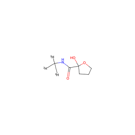 [2H]C([2H])([2H])NC(=O)C1(O)CCCO1